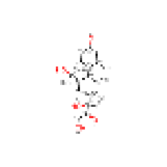 CCCCC(O)(CC)C1C[C@@]2(C)C(CC[C@]2(O)C(=O)CO)C2CCC3=CC(=O)CC[C@]3(C)C21